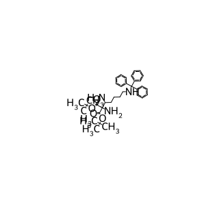 CC(C)(C)OC(=O)C(N)(C(=O)OC(C)(C)C)C(N)CCCCNC(c1ccccc1)(c1ccccc1)c1ccccc1